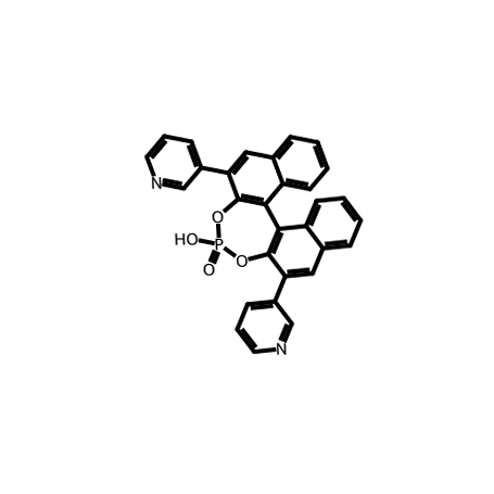 O=P1(O)Oc2c(-c3cccnc3)cc3ccccc3c2-c2c(c(-c3cccnc3)cc3ccccc23)O1